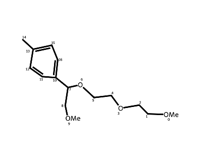 COCCOCCOC(COC)c1ccc(C)cc1